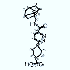 O=C(NCC12CC3CC(CC(C3)C1)C2)c1ccc(N2CCN(C(=O)O)CC2)nn1